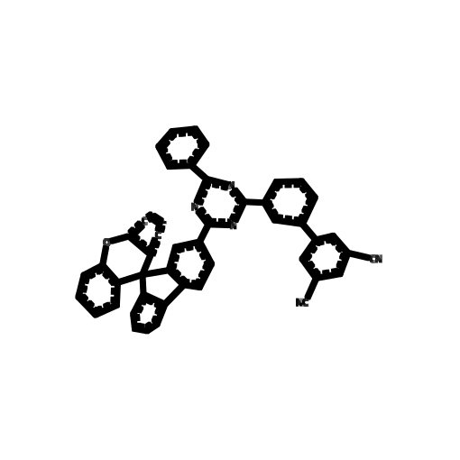 N#Cc1cc(C#N)cc(-c2cccc(-c3nc(-c4ccccc4)nc(-c4ccc5c(c4)C4(c6ccccc6Oc6ccccc64)c4ccccc4-5)n3)c2)c1